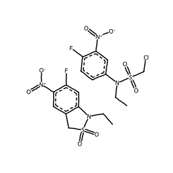 CCN(c1ccc(F)c([N+](=O)[O-])c1)S(=O)(=O)CCl.CCN1c2cc(F)c([N+](=O)[O-])cc2CS1(=O)=O